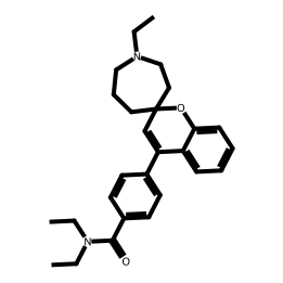 CCN1CCCC2(C=C(c3ccc(C(=O)N(CC)CC)cc3)c3ccccc3O2)CC1